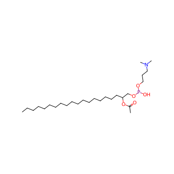 CCCCCCCCCCCCCCCCCCC(COP(O)OCCCN(C)C)OC(C)=O